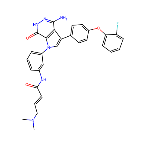 CN(C)C/C=C/C(=O)Nc1cccc(-n2cc(-c3ccc(Oc4ccccc4F)cc3)c3c(N)n[nH]c(=O)c32)c1